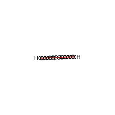 OCCOCCOCCOCCOCCOCCOCCOCCOCCOCCOCCCCOCCOCCOCCOCCOCCOCCOCCOCCOCCOCCO